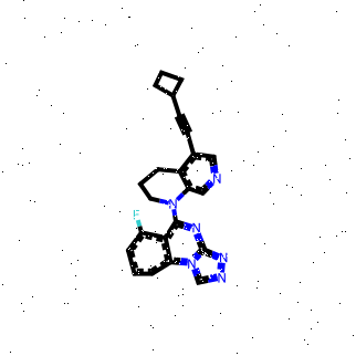 Fc1cccc2c1c(N1CCCc3c(C#CC4CCC4)cncc31)nc1nncn12